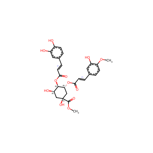 COC(=O)[C@]1(O)C[C@@H](O)[C@@H](OC(=O)/C=C/c2ccc(O)c(O)c2)[C@H](OC(=O)/C=C/c2ccc(OC)c(O)c2)C1